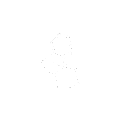 CN1CC2CC3CCCCC31c1ccccc12